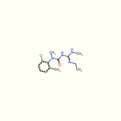 CCN=C(NC)NC(=O)N(C)c1c(C)cccc1Cl